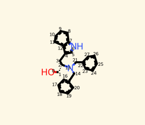 OC[C@H](Cc1c[nH]c2ccccc12)N(Cc1ccccc1)Cc1ccccc1